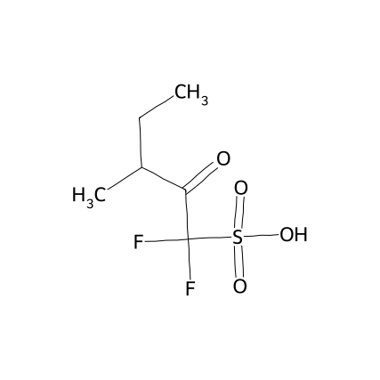 CCC(C)C(=O)C(F)(F)S(=O)(=O)O